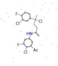 C=C(CCC(C)(Cl)c1ccc(F)c(Cl)c1)Nc1cc(F)c(Cl)c(C(C)=O)c1